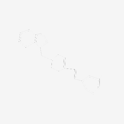 Clc1cccc(C=CC2=CCN(Cc3coc4ccccc34)CC2)c1